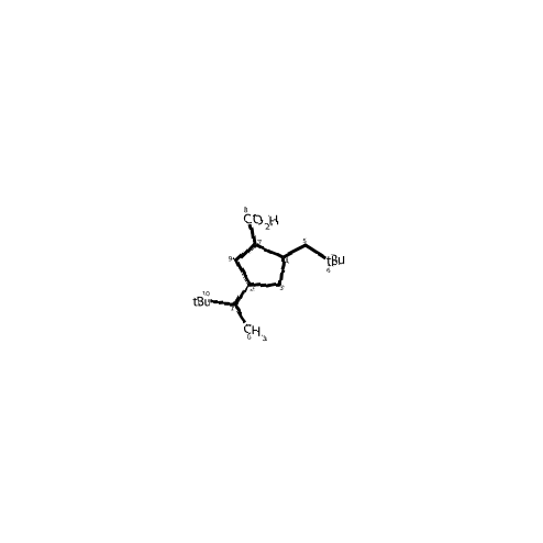 CC([C@@H]1CC(CC(C)(C)C)C(C(=O)O)C1)C(C)(C)C